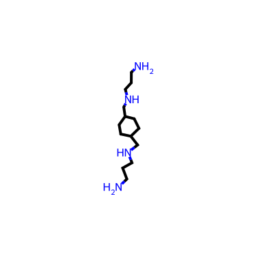 NCCCNCC1CCC(CNCCCN)CC1